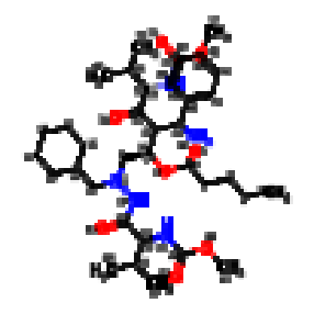 CCCCC(=O)O[C@@H](CN(CC1CCCCC1)NC(=O)[C@@H](NC(=O)OC)C(C)C)C(C(=O)[C@@H](NC(=O)OC)C(C)C)C(N)c1ccccc1